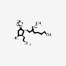 CCCCCC(CC[C@H]1C(=NOC)CC(O)[C@@H]1CCC)=NOC